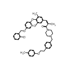 CC(=Cc1cc(C)c(Oc2ccc(OCc3ccccc3Cl)cn2)c(Cl)c1)C(=O)N1CCN(Cc2ccc(CCOc3ccc(C)cc3)cc2)CC1